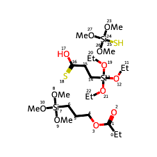 CCC(=O)OCCC[Si](OC)(OC)OC.CCO[Si](CCC(O)=S)(OCC)OCC.CO[Si](S)(OC)OC